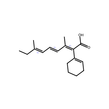 CC/C(C)=C/C=C/C(C)=C(/C(=O)O)C1=CCCCC1